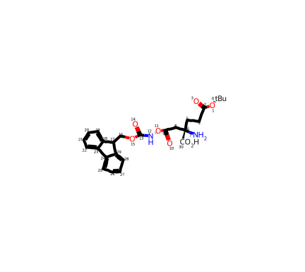 CC(C)(C)OC(=O)CC[C@](N)(CC(=O)ONC(=O)OCC1c2ccccc2-c2ccccc21)C(=O)O